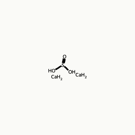 O=S(O)O.[CaH2].[CaH2]